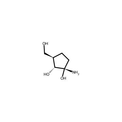 N[C@]1(O)CC[C@H](CO)[C@H]1O